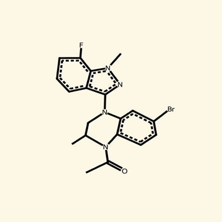 CC(=O)N1c2ccc(Br)cc2N(c2nn(C)c3c(F)cccc23)CC1C